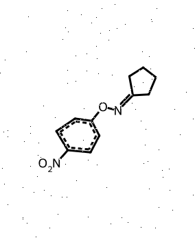 O=[N+]([O-])c1ccc(ON=C2CCCC2)cc1